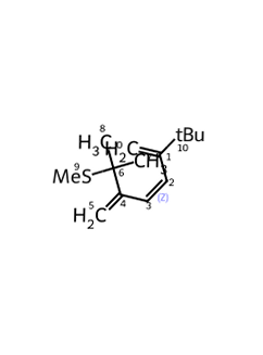 C=C(/C=C\C(=C)C(C)(C)SC)C(C)(C)C